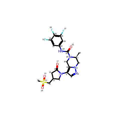 C[C@H]1Cn2ncc(N3CC(CS(C)(=O)=O)CC3=O)c2CN1C(=O)Nc1cc(F)c(F)c(F)c1